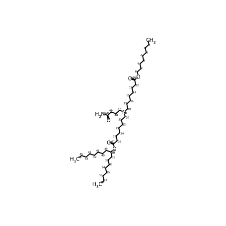 CCCCCCCCCOC(=O)CCCCCCCN(CCCCCCCC(=O)OC(CCCCCCCC)CCCCCCCC)CCCC(N)=O